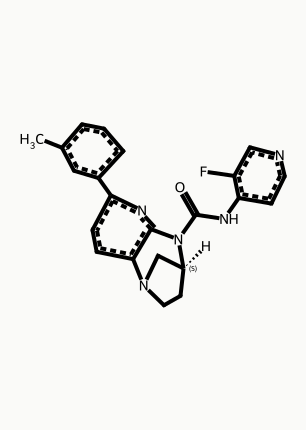 Cc1cccc(-c2ccc3c(n2)N(C(=O)Nc2ccncc2F)[C@H]2CCN3C2)c1